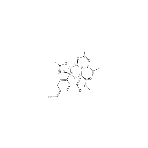 COC(=O)[C@H]1O[C@](O)(C2=CCC(=CBr)C=C2[N+](=O)[O-])[C@H](OC(C)=O)[C@@H](OC(C)=O)[C@@H]1OC(C)=O